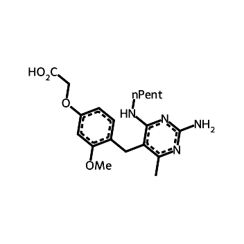 CCCCCNc1nc(N)nc(C)c1Cc1ccc(OCC(=O)O)cc1OC